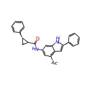 CC(=O)c1cc(NC(=O)C2C[C@H]2c2ccccc2)cc2[nH]c(-c3ccccc3)cc12